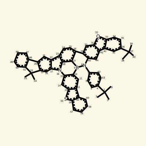 CC(C)(C)c1ccc(N2B3c4cc5c(cc4-n4c6cc7c(cc6c6ccc(c3c64)-c3cc4oc6ccc(C(C)(C)C)cc6c4cc32)-c2ccccc2C7(C)C)sc2ccccc25)cc1